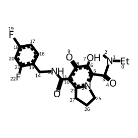 CCN(C)C(=O)c1c(O)c(=O)c(C(=O)NCc2ccc(F)cc2F)c2n1CCC2